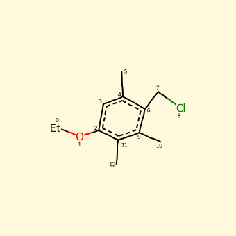 CCOc1cc(C)c(CCl)c(C)c1C